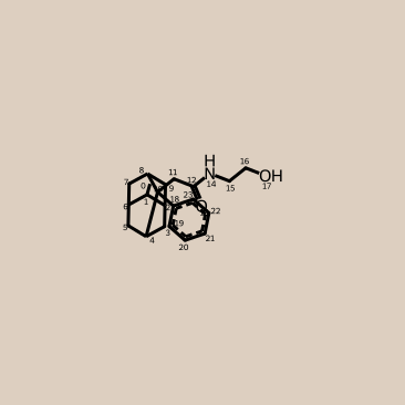 CC1C2CC3CC1CC(C2)C3(CC(=O)NCCO)c1ccccc1